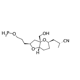 C[C@@H](C#N)C[C@H]1CC[C@@H]2O[C@@H](CCCOP)C[C@]2(CO)O1